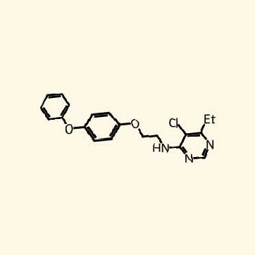 CCc1ncnc(NCCOc2ccc(Oc3ccccc3)cc2)c1Cl